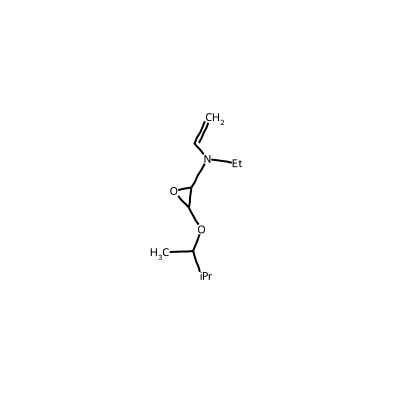 C=CN(CC)C1OC1OC(C)C(C)C